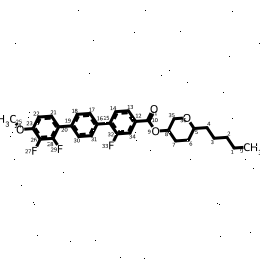 CCCCCC1CCC(OC(=O)c2ccc(-c3ccc(-c4ccc(OC)c(F)c4F)cc3)c(F)c2)CO1